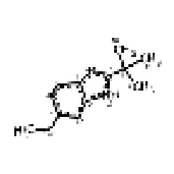 CSc1ccc2nc(C(C)(C)C)[nH]c2c1